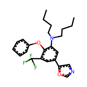 CCCCN(CCCC)c1cc(-c2cnco2)cc(C(F)(F)F)c1Oc1ccccc1